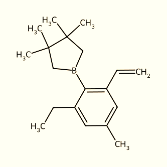 C=Cc1cc(C)cc(CC)c1B1CC(C)(C)C(C)(C)C1